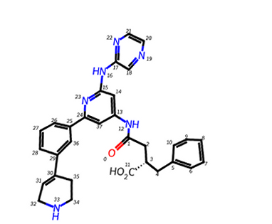 O=C(C[C@H](Cc1ccccc1)C(=O)O)Nc1cc(Nc2cnccn2)nc(-c2cccc(C3=CCNCC3)c2)c1